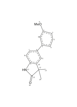 COc1cccc(-c2ccc3c(c2)C(C)(C)C(=O)N3)c1